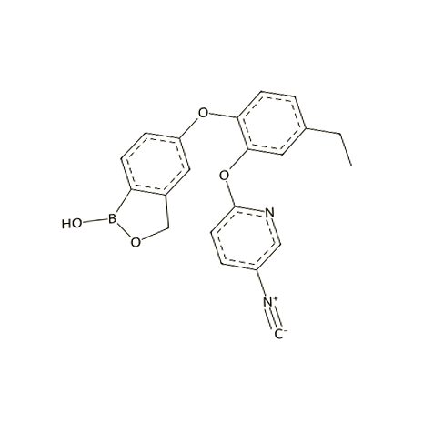 [C-]#[N+]c1ccc(Oc2cc(CC)ccc2Oc2ccc3c(c2)COB3O)nc1